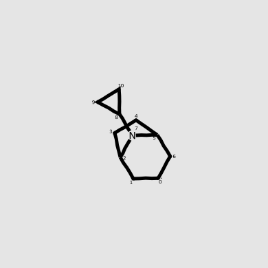 [CH]1CC2CCC(C1)N2C1CC1